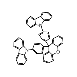 c1ccc2c(c1)Oc1ccccc1C2(c1ccc(-n2c3ccccc3c3ccccc32)cc1)c1ccc(-n2c3ccccc3c3ccccc32)cc1